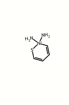 N[N+]1(N)C=CC=CS1